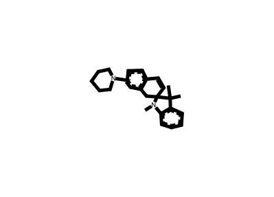 CN1c2ccccc2C(C)(C)C12C=Cc1ccc(N3CCCCC3)cc1C2